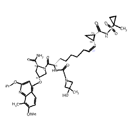 COc1ccc2c(O[C@@H]3C[C@@H](C(N)=O)N(C(=O)[C@H](CCCCC/C=C\[C@@H]4C[C@@H]4C(=O)NS(=O)(=O)C4(C)CC4)NC(=O)N4CC(C)(O)C4)C3)cc(OC(C)C)nc2c1C